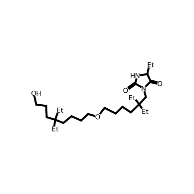 CCC1NC(=O)N(CC(CC)(CC)CCCCOCCCCC(CC)(CC)CCCO)C1=O